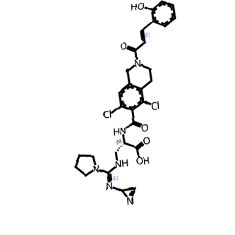 O=C(N[C@@H](CN/C(=N\C1C=N1)N1CCCC1)C(=O)O)c1c(Cl)cc2c(c1Cl)CCN(C(=O)/C=C/c1ccccc1O)C2